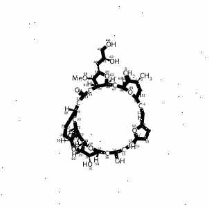 C=C1[C@H](C)C[C@@H]2CC[C@H]3CC[C@H](CCC(O)C[C@H]4O[C@H]5[C@@H](O)[C@H]6C[C@H](CC[C@@H]6O[C@H]5[C@H]4O)CC(=O)C[C@@H]4[C@@H](OC)[C@@H](C[C@H](O)CO)O[C@H]4C[C@H]1O2)O3